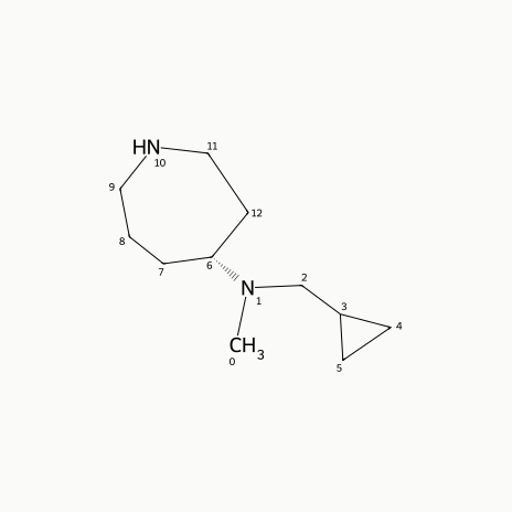 CN(CC1CC1)[C@@H]1CCCNCC1